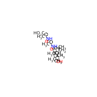 C=C(C)[C@@H]1CC[C@]2(C(=O)NCc3cccc(C(=O)NCc4cccc(C(=O)O)c4C)c3C)CC[C@]3(C)C(CCC4[C@@]5(C)CC[C@H](O)C(C)(C)C5CC[C@]43C)C12